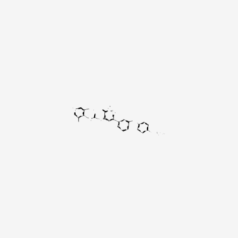 CCn1nc(-c2cccc(Oc3ccc(OC)cc3)c2)cc(NC(=O)Nc2c(Cl)cncc2Cl)c1=O